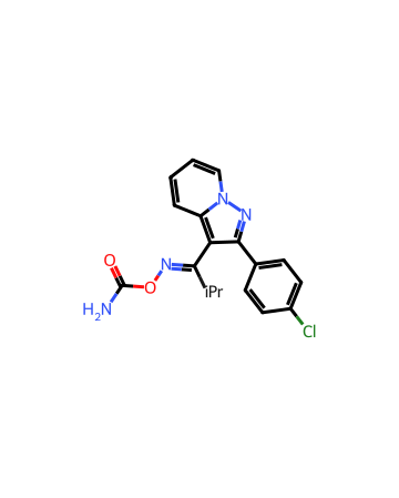 CC(C)C(=NOC(N)=O)c1c(-c2ccc(Cl)cc2)nn2ccccc12